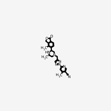 Cc1cc(-n2ncc(CN3CC(c4ccc5c(c4C)COC5=O)N[C@@H](C)C3)n2)ncc1C#N